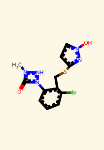 Cn1[nH]n(-c2cccc(Br)c2CSc2ccn(O)n2)c1=O